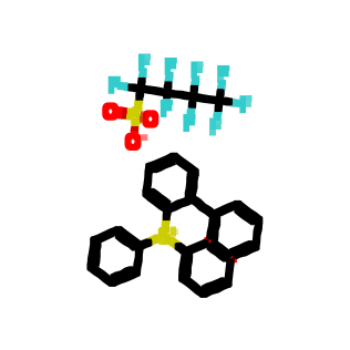 O=S(=O)([O-])C(F)(F)C(F)(F)C(F)(F)C(F)(F)F.c1ccc(-c2ccccc2[S+](c2ccccc2)c2ccccc2)cc1